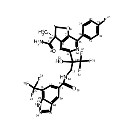 C[C@]1(C(N)=O)COc2c1cc(C(O)(CNC(=O)c1cc(C(F)(F)F)c3[nH]ncc3c1)C(F)(F)F)nc2-c1ccc(F)cc1